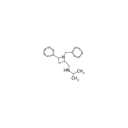 CC(C)NCC1CC(c2ccccc2)N1Cc1ccccc1